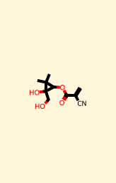 C=C(C#N)C(=O)OC1C(C)(C)C1(O)CO